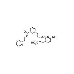 Nc1ccc(CC(C(=O)O)C(S)CCc2cccc(C(=O)OCCc3ccccn3)c2)cn1